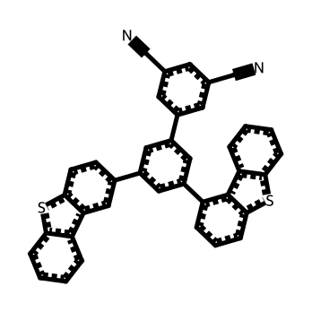 N#Cc1cc(C#N)cc(-c2cc(-c3ccc4sc5ccccc5c4c3)cc(-c3cccc4sc5ccccc5c34)c2)c1